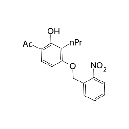 CCCc1c(OCc2ccccc2[N+](=O)[O-])ccc(C(C)=O)c1O